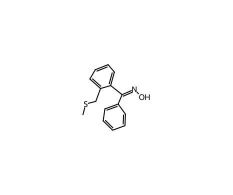 CSCc1ccccc1C(=NO)c1ccccc1